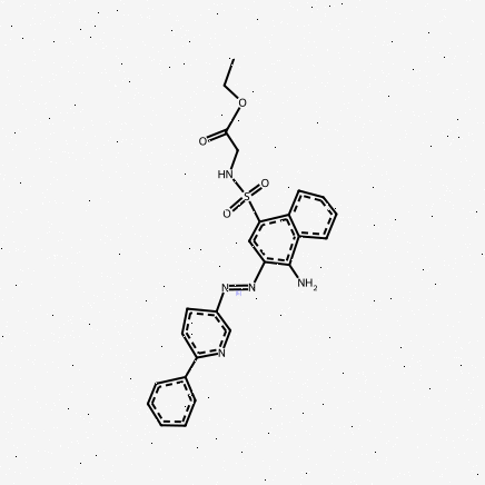 CCOC(=O)CNS(=O)(=O)c1cc(/N=N/c2ccc(-c3ccccc3)nc2)c(N)c2ccccc12